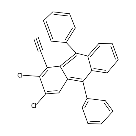 C#Cc1c(Cl)c(Cl)cc2c(-c3ccccc3)c3ccccc3c(-c3ccccc3)c12